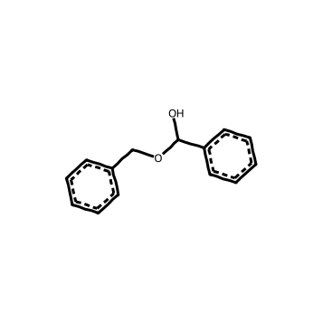 OC(OCc1ccccc1)c1ccccc1